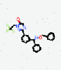 O=c1cnc(-c2cccc(C(=NOCc3ccccc3)c3ccccc3)c2)nn1CC(F)(F)F